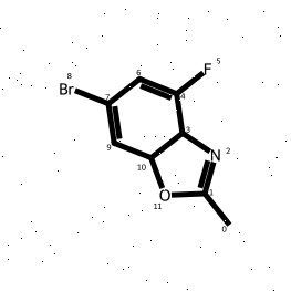 CC1=NC2C(F)=CC(Br)=CC2O1